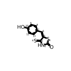 O=C1NC(=S)/C(=C\c2ccc(O)cc2)S1